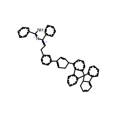 N/C(=N\C(=C/Cc1cccc(C2=CCC(c3cccc4c3-c3ccccc3C43c4ccccc4C4=CC=CCC43)C=C2)c1)c1ccccc1)c1ccccc1